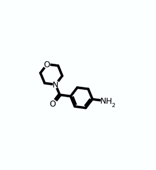 NC1=CC=C(C(=O)N2CCOCC2)CC1